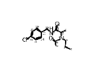 CCCN(C(C)=O)C(C)C(=O)NCc1ccc(Cl)cc1